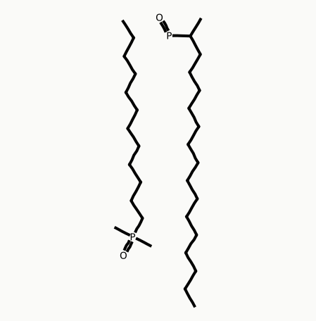 CCCCCCCCCCCCCCCC(C)P=O.CCCCCCCCCCCCP(C)(C)=O